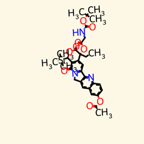 CCC1(OC(=O)CNC(=O)OC(C)(C)C)C(=O)OC([Si](C)(C)C)c2c1cc1n(c2=O)Cc2cc3cc(OC(C)=O)ccc3nc2-1